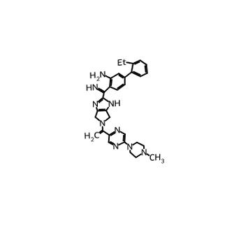 C=C(c1cnc(N2CCN(C)CC2)cn1)N1Cc2nc(C(=N)c3ccc(-c4ccccc4CC)cc3N)[nH]c2C1